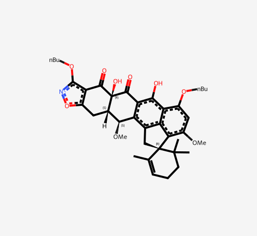 CCCCOc1noc2c1C(=O)[C@]1(O)C(=O)c3c(c4c5c(c(OC)cc(OCCCC)c5c3O)[C@@]3(C4)C(C)=CCCC3(C)C)[C@@H](OC)[C@@H]1C2